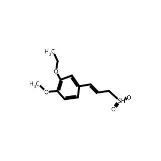 CCOc1cc(C=CC[SH](=O)=O)ccc1OC